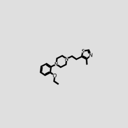 CCOc1ccccc1N1CCN(CCc2scnc2C)CC1